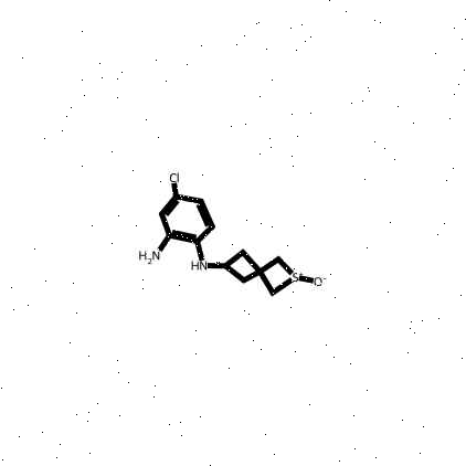 Nc1cc(Cl)ccc1NC1CC2(C1)C[S+]([O-])C2